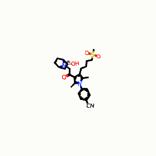 Cc1c(CCCCS(C)(=O)=O)c(C(=O)CN2C3CCC2[C@H](O)C3)c(C)n1-c1ccc(C#N)cc1